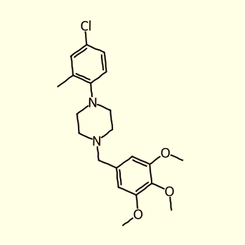 COc1cc(CN2CCN(c3ccc(Cl)cc3C)CC2)cc(OC)c1OC